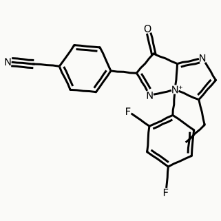 CCC1=CN=C2C(=O)C(c3ccc(C#N)cc3)=N[N+]12c1ccc(F)cc1F